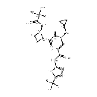 CC(C)(C)c1nnc(NC(=O)/C=C/[C@H](CC2CC2)NC(=O)[C@@H]2CCN2OC(=O)C(F)(F)F)s1